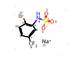 O=S(=O)([O-])Nc1cc(C(F)(F)F)ccc1Br.[Na+]